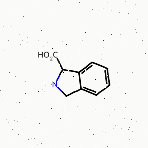 O=C(O)C1[N]Cc2ccccc21